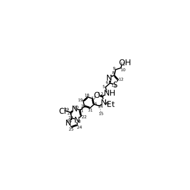 CCN(C(=O)NCc1nc(CCO)cs1)[C@H](C)c1cccc(-c2cn3ccnc3c(Cl)n2)c1